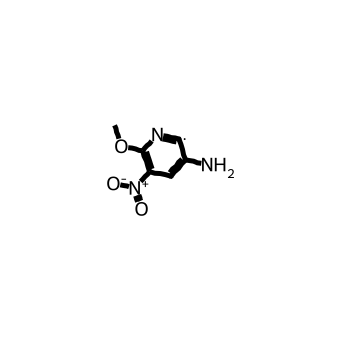 COc1n[c]c(N)cc1[N+](=O)[O-]